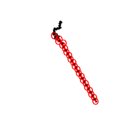 COCCOCCOCCOCCOCCOCCOCCOCCOCCOCCOCCOCCOCCOCCOCCOCCOC(=O)CCC(=O)Oc1c(C)c(C)c2c(c1C)CCC(C)(CCCC(C)CCCC(C)CCCC(C)C)O2